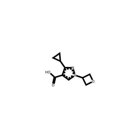 O=C(O)c1cn(C2COC2)nc1C1CC1